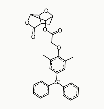 Cc1cc([S+](c2ccccc2)c2ccccc2)cc(C)c1OCC(=O)OC1C2CC3C(=O)OC1C3O2